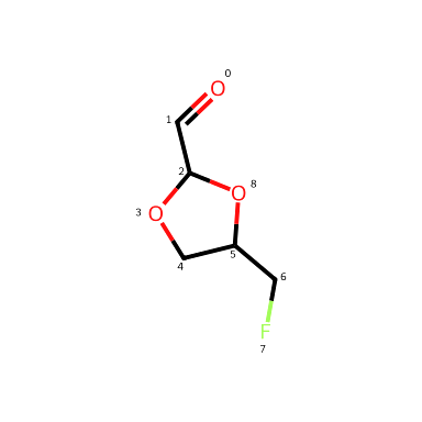 O=CC1OCC(CF)O1